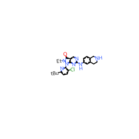 CCn1c(=O)c2cnc(Nc3ccc4c(c3)CCNC4)nc2n1-c1nc(C(C)(C)C)ccc1Cl